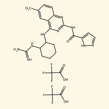 Cc1ccc2nc(NC(=O)c3ccn[nH]3)nc(NC3CCCCC3NC(=N)N)c2c1.O=C(O)C(F)(F)F.O=C(O)C(F)(F)F